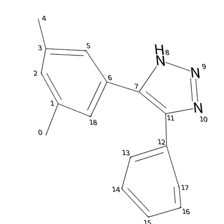 Cc1cc(C)cc(-c2[nH]nnc2-c2ccccc2)c1